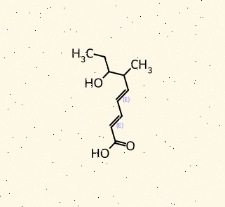 CCC(O)C(C)/C=C/C=C/C(=O)O